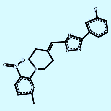 Cc1ccc([N+](=O)[O-])c(N2CCC(=Cc3nc(-c4cccc(Cl)c4)no3)CC2)n1